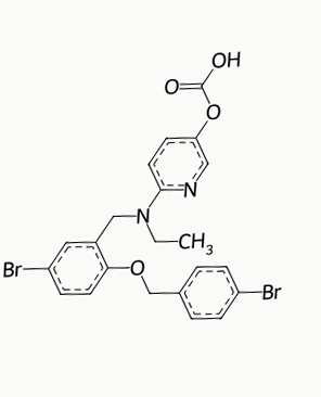 CCN(Cc1cc(Br)ccc1OCc1ccc(Br)cc1)c1ccc(OC(=O)O)cn1